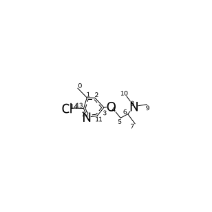 Cc1cc(OCC(C)N(C)C)cnc1Cl